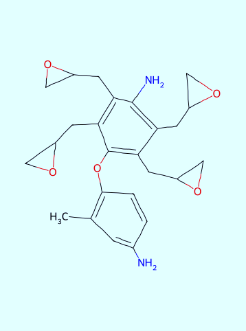 Cc1cc(N)ccc1Oc1c(CC2CO2)c(CC2CO2)c(N)c(CC2CO2)c1CC1CO1